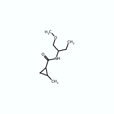 CCC(COC)NC(=O)C1CC1C